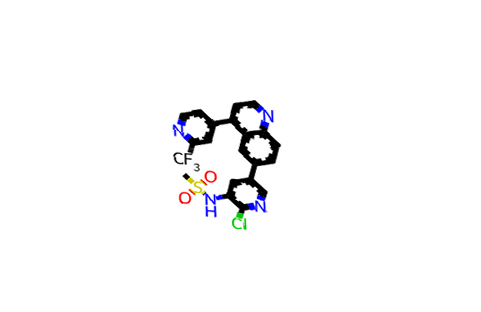 CS(=O)(=O)Nc1cc(-c2ccc3nccc(-c4ccnc(C(F)(F)F)c4)c3c2)cnc1Cl